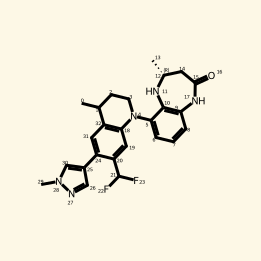 CC1CCN(c2cccc3c2N[C@H](C)CC(=O)N3)c2cc(C(F)F)c(-c3cnn(C)c3)cc21